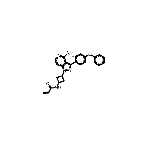 C=CC(=O)NC1CC(n2nc(-c3ccc(Oc4ccccc4)cc3)c3c(N)nccc32)C1